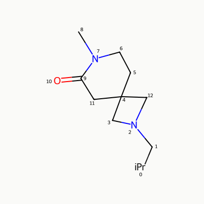 CC(C)CN1CC2(CCN(C)C(=O)C2)C1